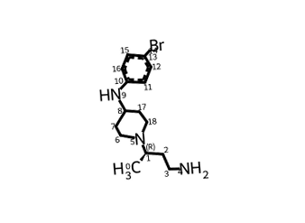 C[C@H](CCN)N1CCC(Nc2ccc(Br)cc2)CC1